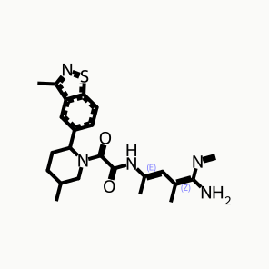 C=N/C(N)=C(C)\C=C(/C)NC(=O)C(=O)N1CC(C)CCC1c1ccc2snc(C)c2c1